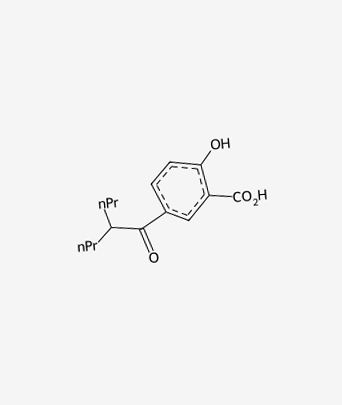 CCCC(CCC)C(=O)c1ccc(O)c(C(=O)O)c1